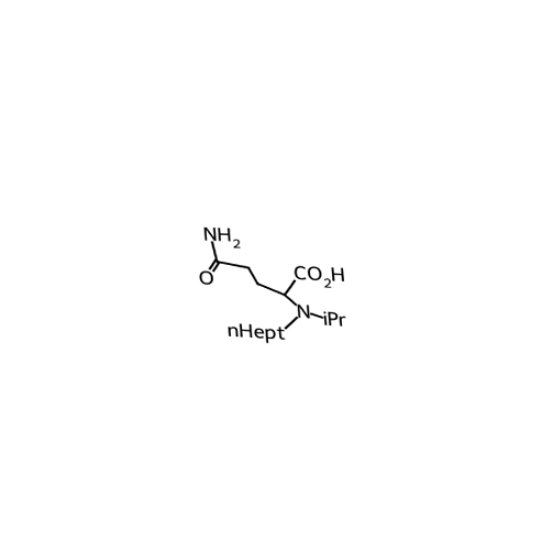 CCCCCCCN(C(C)C)C(CCC(N)=O)C(=O)O